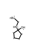 CCCCCNC1(O)CCCC1